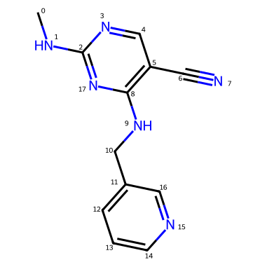 CNc1ncc(C#N)c(NCc2cccnc2)n1